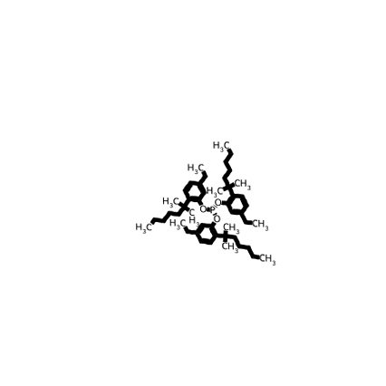 CCCCCC(C)(C)c1ccc(CC)cc1OP(Oc1cc(CC)ccc1C(C)(C)CCCCC)Oc1cc(CC)ccc1C(C)(C)CCCCC